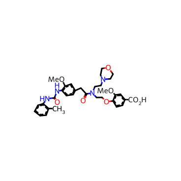 COc1cc(CC(=O)N(CCOc2ccc(C(=O)O)cc2OC)CCN2CCOCC2)ccc1NC(=O)Nc1ccccc1C